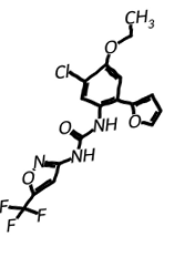 CCOc1cc(-c2ccco2)c(NC(=O)Nc2cc(C(F)(F)F)on2)cc1Cl